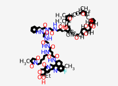 C=C1C[C@@H]2CC[C@@]34C[C@H]5OC6C(O[C@H]7CC[C@H](CC(=O)CC[C@@H]8[C@@H](OC)[C@@H](C[C@H](O)CNC(=O)CNC(=O)[C@H](Cc9ccccc9)NC(=O)CNC(=O)CNC(=O)C(CCC(=O)N[C@H]9CCc%10c(C)c(F)cc%11nc%12c(c9c%10%11)Cn9c-%12cc%10c(c9=O)COC(=O)[C@]%10(O)CC)NC(=O)CCCCCN9C(=O)CC(C)C9=O)O[C@H]8C[C@H]8O[C@@H](CC[C@@H]1O2)C[C@@H](C)C8=C)O[C@@H]7[C@@H]6O3)[C@H]5O4